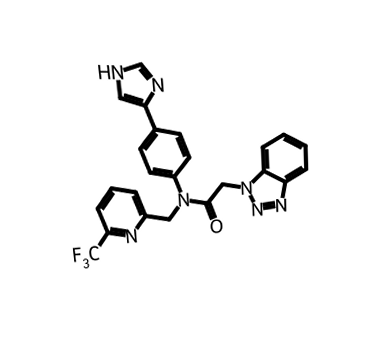 O=C(Cn1nnc2ccccc21)N(Cc1cccc(C(F)(F)F)n1)c1ccc(-c2c[nH]cn2)cc1